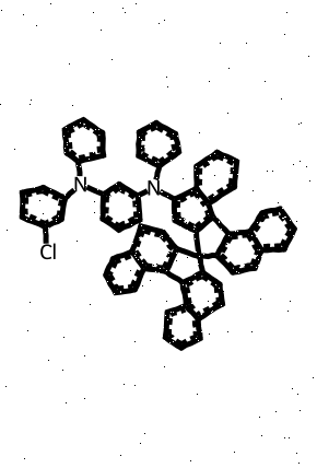 Clc1cccc(N(c2ccccc2)c2cccc(N(c3ccccc3)c3cc4c(c5ccccc35)-c3c(ccc5ccccc35)C43c4ccc5ccccc5c4-c4c3ccc3ccccc43)c2)c1